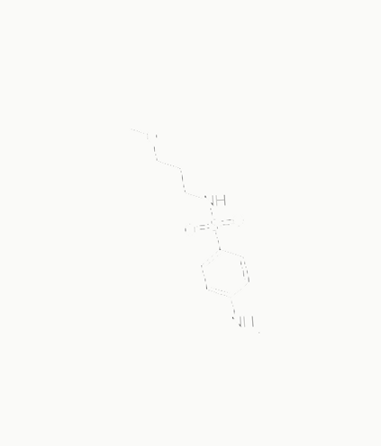 COCCCNS(=O)(=O)c1ccc(N)cc1